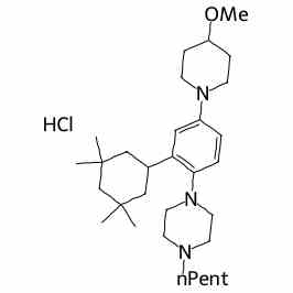 CCCCCN1CCN(c2ccc(N3CCC(OC)CC3)cc2C2CC(C)(C)CC(C)(C)C2)CC1.Cl